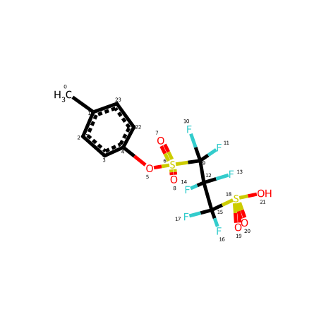 Cc1ccc(OS(=O)(=O)C(F)(F)C(F)(F)C(F)(F)S(=O)(=O)O)cc1